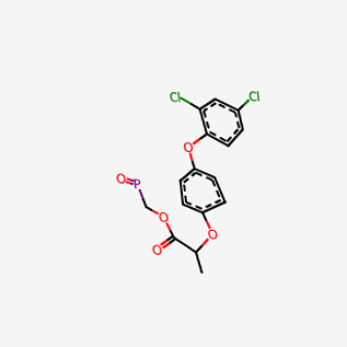 CC(Oc1ccc(Oc2ccc(Cl)cc2Cl)cc1)C(=O)OCP=O